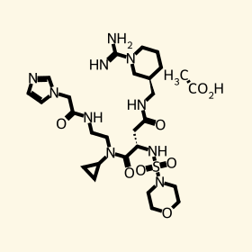 CC(=O)O.N=C(N)N1CCC[C@@H](CNC(=O)C[C@H](NS(=O)(=O)N2CCOCC2)C(=O)N(CCNC(=O)Cn2ccnc2)C2CC2)C1